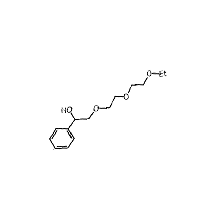 CCOCCOCCOCC(O)c1cc[c]cc1